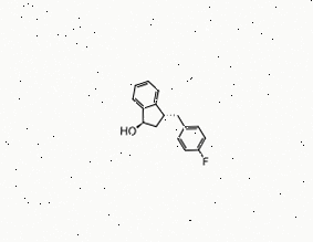 O[C@@H]1C[C@@H](Cc2ccc(F)cc2)c2ccccc21